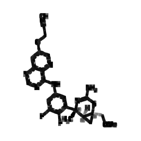 C#CCOc1cnc2c(Nc3cc(F)c(F)c([C@]4(C)N=C(N)S[C@@]5(COC)C[C@H]54)c3)ncnc2c1